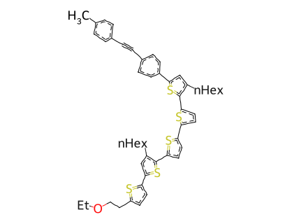 CCCCCCc1cc(-c2ccc(C#Cc3ccc(C)cc3)cc2)sc1-c1ccc(-c2ccc(-c3sc(-c4ccc(CCOCC)s4)cc3CCCCCC)s2)s1